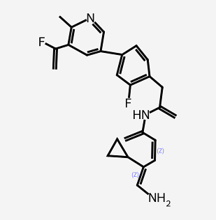 C=C(/C=C\C(=C/N)C1CC1)NC(=C)Cc1ccc(-c2cnc(C)c(C(=C)F)c2)cc1F